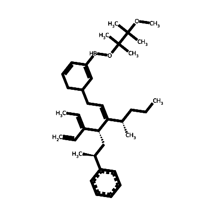 C=C/C(=C\C)[C@@H](C[C@H](C)c1ccccc1)/C(=C\CC1C=C(BOC(C)(C)C(C)(C)OC)C=CC1)[C@@H](C)CCC